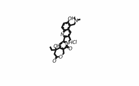 CCC1(O)CC(=O)OCc2c1cc1n(c2=O)Cc2cc3c(CN(C)C)c(O)ccc3nc2-1.Cl